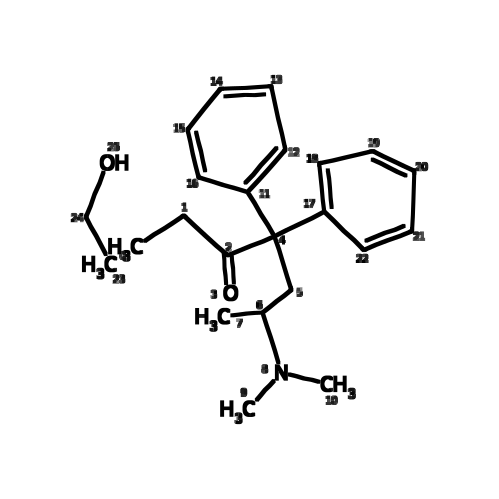 CCC(=O)C(CC(C)N(C)C)(c1ccccc1)c1ccccc1.CCO